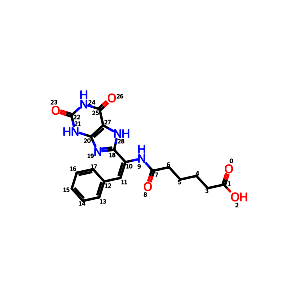 O=C(O)CCCCC(=O)NC(=Cc1ccccc1)c1nc2[nH]c(=O)[nH]c(=O)c2[nH]1